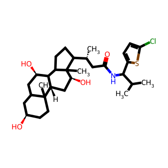 CC(C)C(NC(=O)C[C@@H](C)C1CCC2C3[C@H](O)CC4C[C@H](O)CCC4(C)[C@H]3C[C@H](O)C21C)c1ccc(Cl)s1